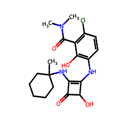 CN(C)C(=O)c1c(Cl)ccc(NC2=C(NC3(C)CCCCC3)C(=O)C2O)c1O